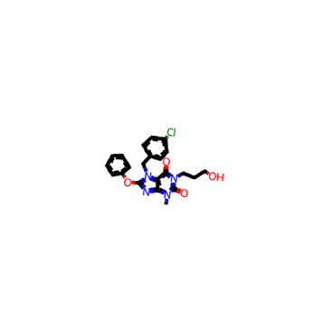 Cn1c(=O)n(CCCO)c(=O)c2c1nc(Oc1ccccc1)n2Cc1ccc(Cl)cc1